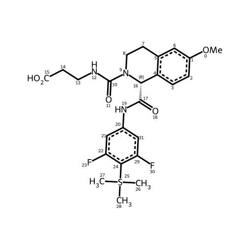 COc1ccc2c(c1)CCN(C(=O)NCCC(=O)O)[C@H]2C(=O)Nc1cc(F)c(S(C)(C)C)c(F)c1